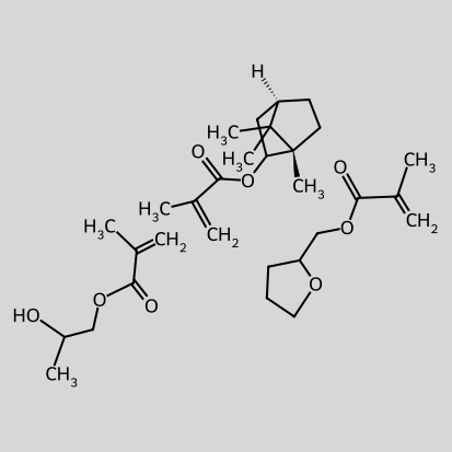 C=C(C)C(=O)OC1C[C@H]2CC[C@@]1(C)C2(C)C.C=C(C)C(=O)OCC(C)O.C=C(C)C(=O)OCC1CCCO1